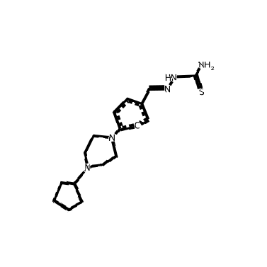 NC(=S)NN=Cc1ccc(N2CCN(C3CCCC3)CC2)cc1